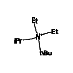 CCCC[N+](CC)(CC)C(C)C